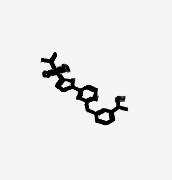 CC(O)c1cccc(Cc2nccc(-c3ccc(S(=O)(=O)C(C)C)s3)n2)c1